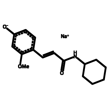 COc1cc([O-])ccc1C=CC(=O)NC1CCCCC1.[Na+]